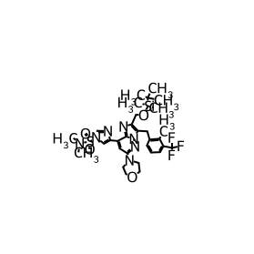 Cc1c(Cc2c(CO[Si](C)(C)C(C)(C)C)nc3c(-c4cn(S(=O)(=O)N(C)C)cn4)cc(N4CCOCC4)nn23)cccc1C(F)(F)F